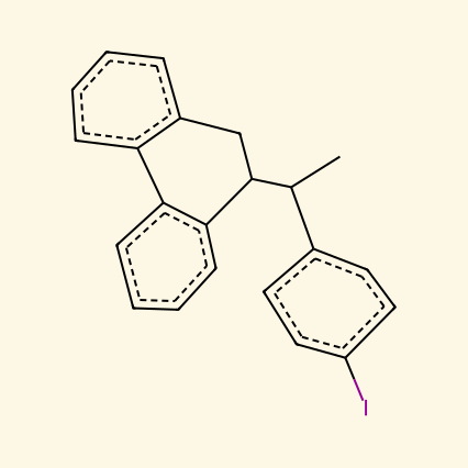 CC(c1ccc(I)cc1)C1Cc2ccccc2-c2ccccc21